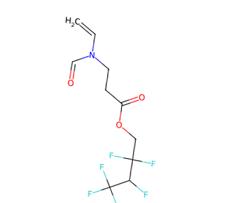 C=CN(C=O)CCC(=O)OCC(F)(F)C(F)C(F)(F)F